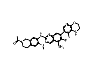 COc1cc2c(cc1Nc1ncc3c(N)c(F)c(-c4cnc5c(c4C)NCCO5)cc3n1)CN(C(C)=O)CC2